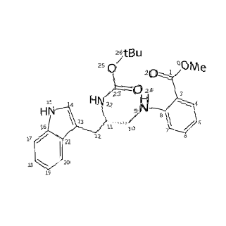 COC(=O)c1ccccc1NC[C@H](Cc1c[nH]c2ccccc12)NC(=O)OC(C)(C)C